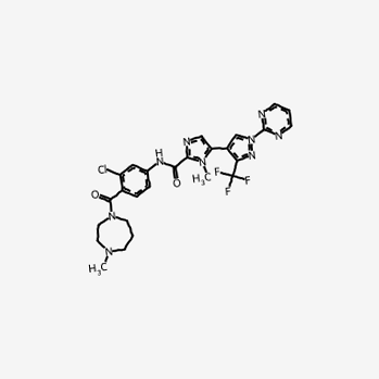 CN1CCCN(C(=O)c2ccc(NC(=O)c3ncc(-c4cn(-c5ncccn5)nc4C(F)(F)F)n3C)cc2Cl)CC1